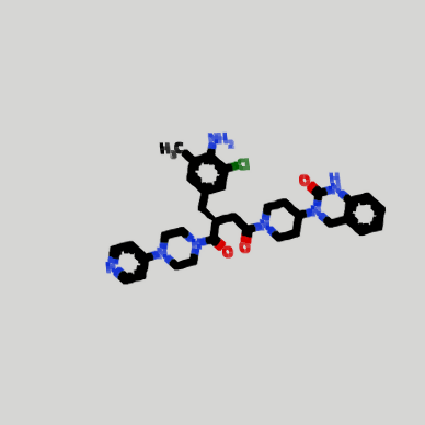 Cc1cc(C[C@@H](CC(=O)N2CCC(N3Cc4ccccc4NC3=O)CC2)C(=O)N2CCN(c3ccncc3)CC2)cc(Cl)c1N